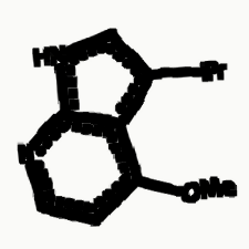 COc1ccnc2[nH]cc(C(C)C)c12